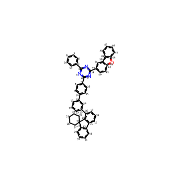 c1ccc(-c2nc(-c3ccc(-c4cccc(-c5cccc6c5C5(CCCCC5)c5ccccc5-6)c4)cc3)nc(-c3ccc4oc5ccccc5c4c3)n2)cc1